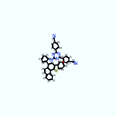 N#Cc1ccc(-c2nc(-c3ccc(C#N)cc3)nc(-n3c4ccccc4c4c5ccc6ccccc6c5c5sc6ccccc6c5c43)n2)cc1